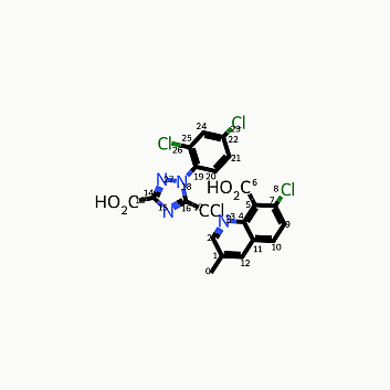 Cc1cnc2c(C(=O)O)c(Cl)ccc2c1.O=C(O)c1nc(C(Cl)(Cl)Cl)n(-c2ccc(Cl)cc2Cl)n1